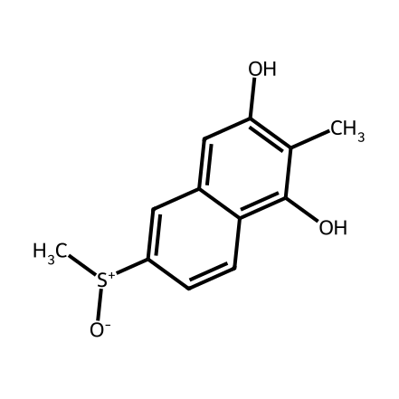 Cc1c(O)cc2cc([S+](C)[O-])ccc2c1O